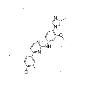 COc1cc(Nc2nccc(-c3ccc(Cl)c(C)c3)n2)ccc1-n1cnc(C)c1